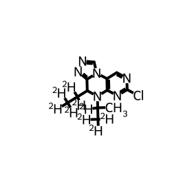 [2H]C([2H])([2H])C([2H])([2H])C1c2nncn2-c2cnc(Cl)nc2N1C([2H])(C)C([2H])([2H])[2H]